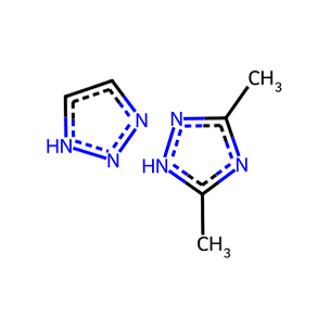 Cc1n[nH]c(C)n1.c1c[nH]nn1